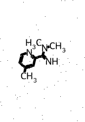 Cc1ccnc(C(=N)N(C)C)c1